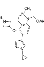 CCN1CC(Oc2c(-c3cnn(C4CC4)c3)ccc3c2CC[C@H](C)N3COC)C1